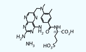 Cc1cc(C(=O)N[C@@H](CCS(=O)(=O)O)C(=O)O)ccc1N(C)Cc1cnc2nc(N)nc(N)c2n1.N